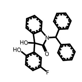 O=C1N(C(c2ccccc2)c2ccccc2)c2ccccc2C1(O)c1cc(F)ccc1O